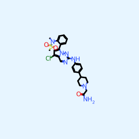 CN(c1ccccc1-c1cc(Cl)c2cnc(Nc3ccc(C4CCN(CC(N)=O)CC4)cc3)nn12)S(C)(=O)=O